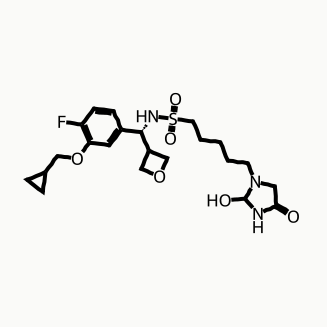 O=C1CN(CCCCCS(=O)(=O)N[C@@H](c2ccc(F)c(OCC3CC3)c2)C2COC2)C(O)N1